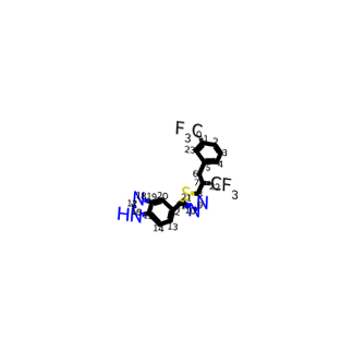 FC(F)(F)c1cccc(CC(c2nnc(-c3ccc4[nH]cnc4c3)s2)C(F)(F)F)c1